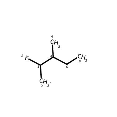 [CH2]C(F)C(C)CC